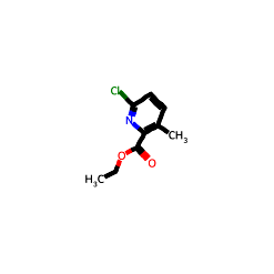 CCOC(=O)c1nc(Cl)ccc1C